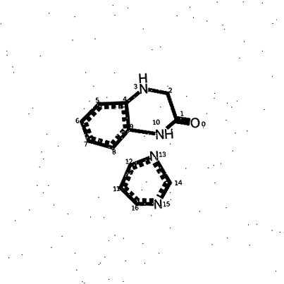 O=C1CNc2ccccc2N1.c1cncnc1